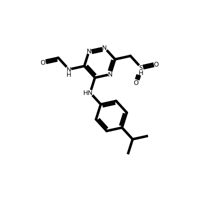 CC(C)c1ccc(Nc2nc(C[SH](=O)=O)nnc2NC=O)cc1